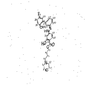 O=C(OCCCCN1CCOCC1)c1ccc(NSc2cccc(-c3cc(F)ccc3O)c2)cc1O